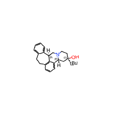 CC(C)(C)[C@]1(O)CCN2C[C@@H]3c4ccccc4CCc4cccc(c43)[C@H]2C1